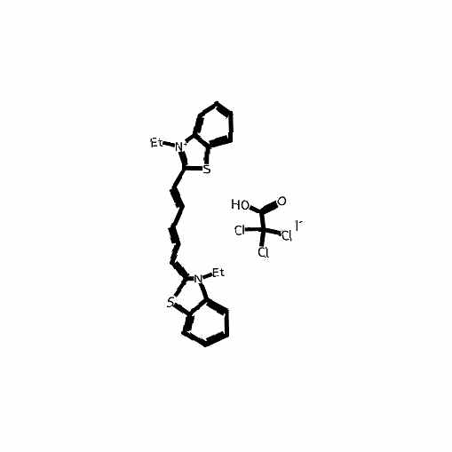 CCN1C(=CC=CC=Cc2sc3ccccc3[n+]2CC)Sc2ccccc21.O=C(O)C(Cl)(Cl)Cl.[I-]